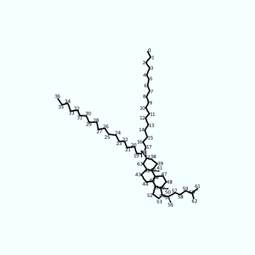 CCCCCCCCCCCCCCCCCCN(CCCCCCCCCCCCCCCCCC)[C@@H]1CC[C@@]2(C)C(CCC3C2CC[C@@]2(C)C3CC[C@@H]2[C@H](C)CCCC(C)C)C1